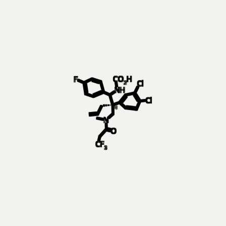 C=CC[C@@](CN(C)C(=O)CC(F)(F)F)(c1ccc(Cl)c(Cl)c1)C(NC(=O)O)c1ccc(F)cc1